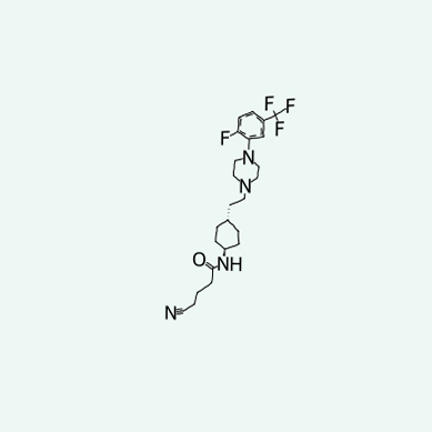 N#CCCCC(=O)N[C@H]1CC[C@H](CCN2CCN(c3cc(C(F)(F)F)ccc3F)CC2)CC1